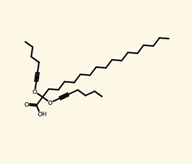 CCCCC#COC(CCCCCCCCCCCCCCCC)(OC#CCCCC)C(=O)O